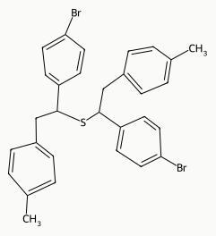 Cc1ccc(CC(SC(Cc2ccc(C)cc2)c2ccc(Br)cc2)c2ccc(Br)cc2)cc1